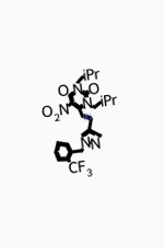 CC(C)Cn1c(/C=C/c2cnn(Cc3ccccc3C(F)(F)F)c2)c([N+](=O)[O-])c(=O)n(CC(C)C)c1=O